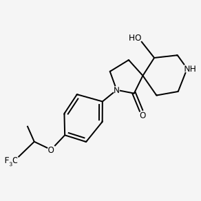 CC(Oc1ccc(N2CCC3(CCNCC3O)C2=O)cc1)C(F)(F)F